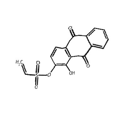 C=CS(=O)(=O)Oc1ccc2c(c1O)C(=O)c1ccccc1C2=O